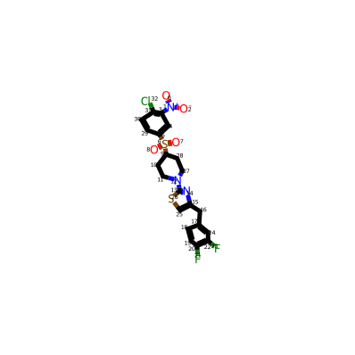 O=[N+]([O-])c1cc(S(=O)(=O)C2CCN(c3nc(Cc4ccc(F)c(F)c4)cs3)CC2)ccc1Cl